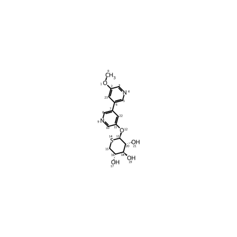 COc1cncc(-c2cncc(O[C@@H]3SC[C@@H](O)[C@H](O)[C@H]3O)c2)c1